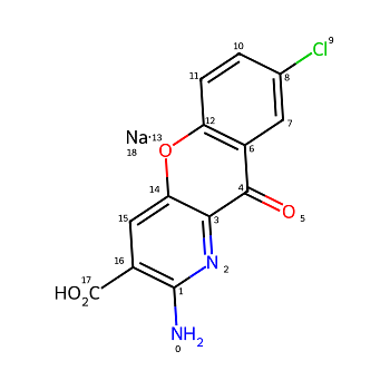 Nc1nc2c(=O)c3cc(Cl)ccc3oc2cc1C(=O)O.[Na]